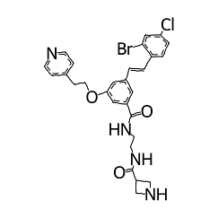 O=C(NCCNC(=O)C1CNC1)c1cc(/C=C/c2ccc(Cl)cc2Br)cc(OCCc2ccncc2)c1